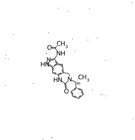 CC(=O)Nc1n[nH]c2cc3c(cc12)CN([C@H](C)c1ccccc1)C(=O)N3